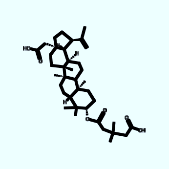 C=C(C)[C@@H]1CC[C@]2(CC(=O)O)CC[C@]3(C)[C@H](CCC4[C@@]5(C)CC[C@H](OC(=O)CC(C)(C)CC(=O)O)C(C)(C)[C@@H]5CC[C@]43C)[C@@H]12